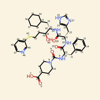 O=C(O)C1CCN(C(=O)N[C@@H](Cc2ccccc2)C(=O)N[C@@H](Cc2c[nH]cn2)C(=O)N[C@@H](CC2CCCCC2)[C@@H](O)CCSc2cccnc2)CC1